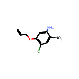 C=CCOc1cc(N)c([N+](=O)[O-])cc1Cl